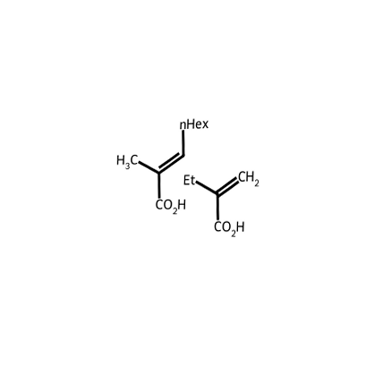 C=C(CC)C(=O)O.CCCCCCC=C(C)C(=O)O